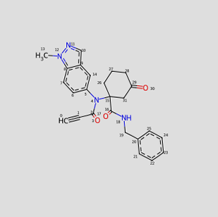 C#CC(=O)N(c1ccc2c(cnn2C)c1)C1(C(=O)NCc2ccccc2)CCCC(=O)C1